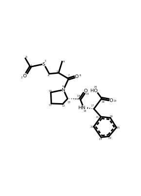 CC(=O)SCC(C)C(=O)N1CCC[C@H]1C(=O)N[C@H](C(=O)O)c1ccccc1